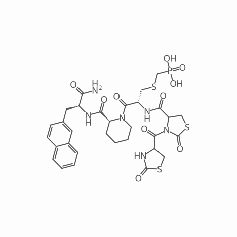 NC(=O)[C@H](Cc1ccc2ccccc2c1)NC(=O)[C@@H]1CCCCN1C(=O)[C@H](CSCP(=O)(O)O)NC(=O)C1CSC(=O)N1C(=O)C1CSC(=O)N1